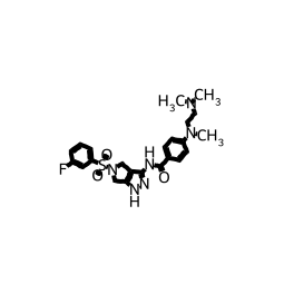 CN(C)CCN(C)c1ccc(C(=O)Nc2n[nH]c3c2CN(S(=O)(=O)c2cccc(F)c2)C3)cc1